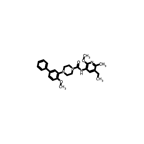 CCc1cc(NC(=O)N2CCN(c3cc(-c4ccccc4)ccc3OC)CC2)c(OC)nc1C